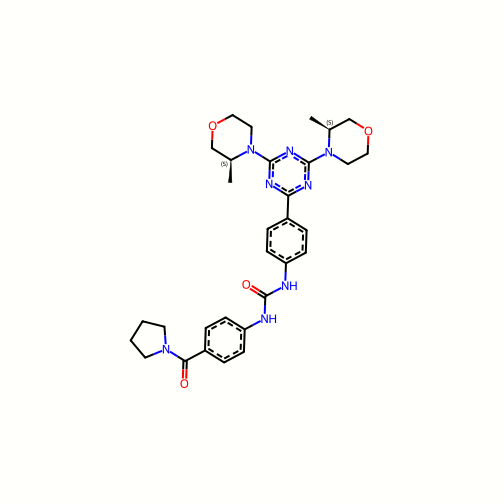 C[C@H]1COCCN1c1nc(-c2ccc(NC(=O)Nc3ccc(C(=O)N4CCCC4)cc3)cc2)nc(N2CCOC[C@@H]2C)n1